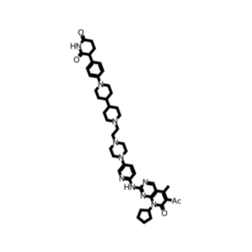 CC(=O)c1c(C)c2cnc(Nc3ccc(N4CCN(CCN5CCC(C6CCN(c7ccc(C8CCC(=O)NC8=O)cc7)CC6)CC5)CC4)cn3)nc2n(C2CCCC2)c1=O